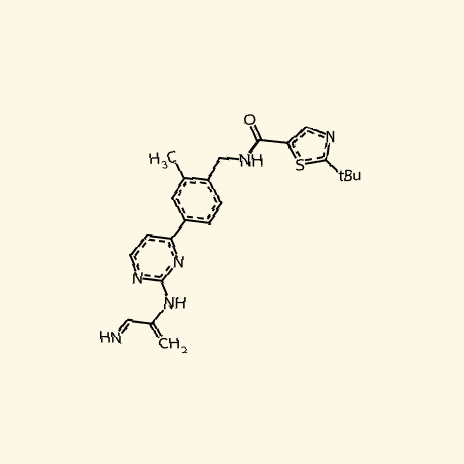 C=C(C=N)Nc1nccc(-c2ccc(CNC(=O)c3cnc(C(C)(C)C)s3)c(C)c2)n1